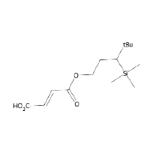 CC(C)(C)C(CCOC(=O)C=CC(=O)O)[Si](C)(C)C